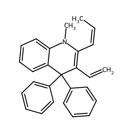 C=CC1=C(/C=C\C)N(C)c2ccccc2C1(c1ccccc1)c1ccccc1